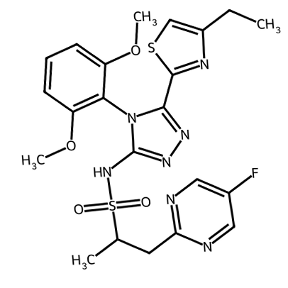 CCc1csc(-c2nnc(NS(=O)(=O)C(C)Cc3ncc(F)cn3)n2-c2c(OC)cccc2OC)n1